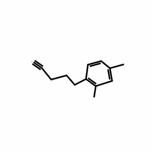 [C]#CCCCc1ccc(C)cc1C